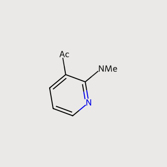 CNc1ncccc1C(C)=O